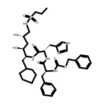 CCCS(=O)(=O)NC[C@@H](O)C[C@H](O)[C@H](CC1CCCCC1)NC(=O)[C@H](Cc1c[nH]cn1)NC(=O)[C@H](Cc1ccccc1)NC(=O)OCc1ccccc1